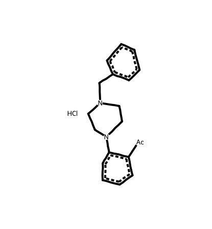 CC(=O)c1ccccc1N1CCN(Cc2ccccc2)CC1.Cl